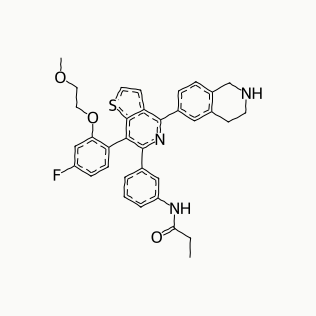 CCC(=O)Nc1cccc(-c2nc(-c3ccc4c(c3)CCNC4)c3ccsc3c2-c2ccc(F)cc2OCCOC)c1